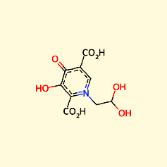 O=C(O)c1cn(CC(O)O)c(C(=O)O)c(O)c1=O